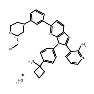 Cl.Cl.Cl.Nc1ncccc1-c1nc2ccc(-c3cccc(N4CCO[C@@H](CO)C4)c3)nc2n1-c1ccc(C2(N)CCC2)cc1